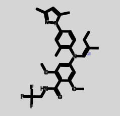 CC/C(C)=C\N(c1cc(OC)c(C(=O)NCC(F)(F)F)c(OC)c1)c1ccc(-n2nc(C)cc2C)cc1C